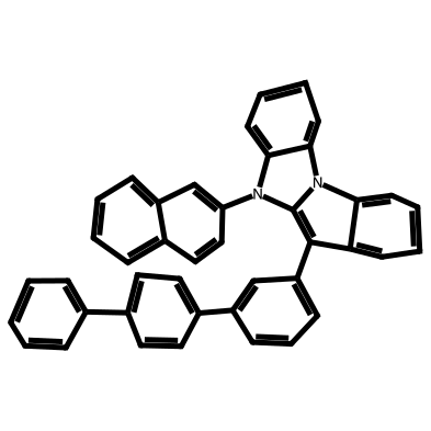 c1ccc(-c2ccc(-c3cccc(-c4c5ccccc5n5c6ccccc6n(-c6ccc7ccccc7c6)c45)c3)cc2)cc1